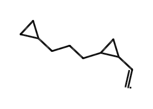 [CH]=CC1CC1CCCC1CC1